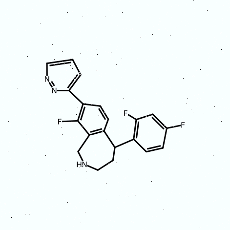 Fc1ccc(C2CCNCc3c2ccc(-c2cccnn2)c3F)c(F)c1